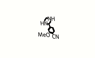 COc1cc(C2CNCCN2)ccc1C#N